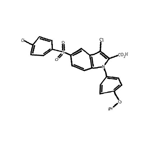 CC(C)Oc1ccc(-n2c(C(=O)O)c(Cl)c3cc(S(=O)(=O)c4ccc(Cl)cc4)ccc32)cc1